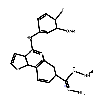 COC1C=C(NC2=NC3=C(C=CC(/C(=N/N)NNI)C3)C3SC=CC23)C=CC1F